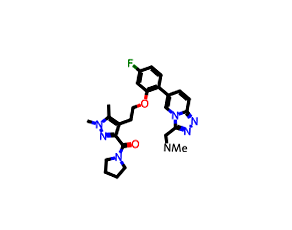 CNCc1nnc2ccc(-c3ccc(F)cc3OCCc3c(C(=O)N4CCCC4)nn(C)c3C)cn12